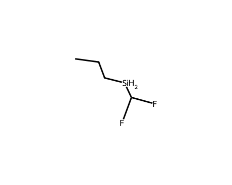 CCC[SiH2]C(F)F